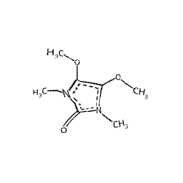 COc1c(OC)n(C)c(=O)n1C